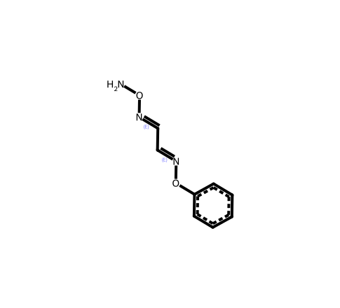 NO/N=C/C=N/Oc1ccccc1